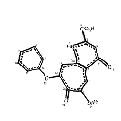 COc1cc2c(=O)cc(C(=O)O)[nH]c2cc(Oc2ccccc2)c1=O